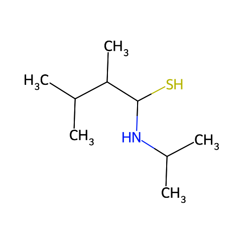 CC(C)NC(S)C(C)C(C)C